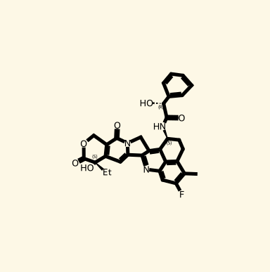 CC[C@@]1(O)C(=O)OCc2c1cc1n(c2=O)Cc2c-1nc1cc(F)c(C)c3c1c2[C@@H](NC(=O)[C@H](O)c1ccccc1)CC3